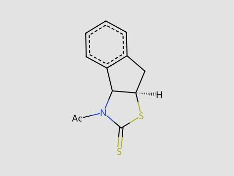 CC(=O)N1C(=S)S[C@@H]2Cc3ccccc3C21